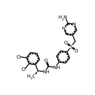 C[C@H](NC(=O)Nc1ccc(S(=O)(=O)Cc2cnc(N)nc2)cc1)c1cccc(Cl)c1Cl